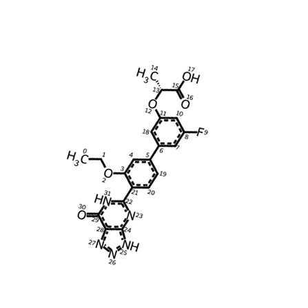 CCOc1cc(-c2cc(F)cc(O[C@H](C)C(=O)O)c2)ccc1-c1nc2[nH]nnc2c(=O)[nH]1